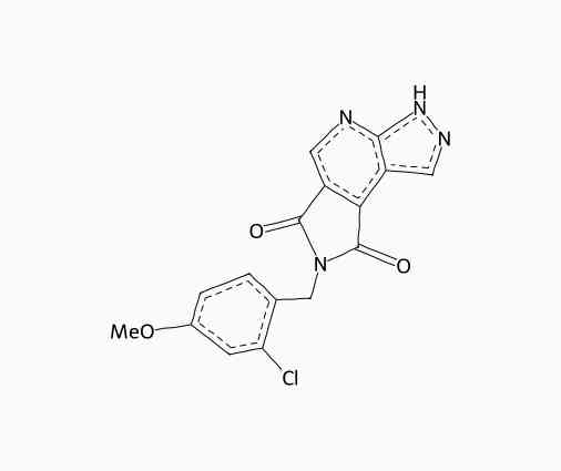 COc1ccc(CN2C(=O)c3cnc4[nH]ncc4c3C2=O)c(Cl)c1